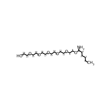 CCCCCC(N)OCCOCCOCCOCCOCCOCCO